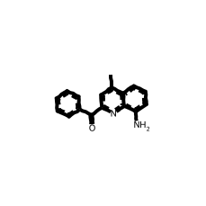 Cc1cc(C(=O)c2ccccc2)nc2c(N)cccc12